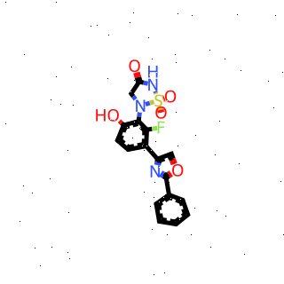 O=C1CN(c2c(O)ccc(-c3coc(-c4ccccc4)n3)c2F)S(=O)(=O)N1